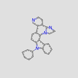 c1ccc(-n2c3ccccc3c3c2ccc2c4cnccc4c4nccn4c23)cc1